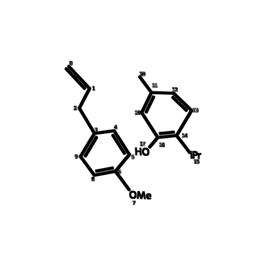 C=CCc1ccc(OC)cc1.Cc1ccc(C(C)C)c(O)c1